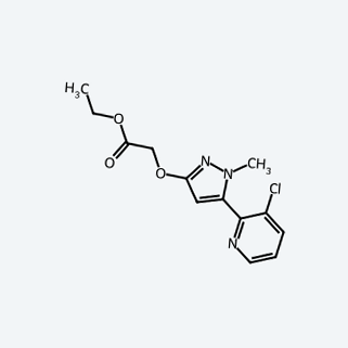 CCOC(=O)COc1cc(-c2ncccc2Cl)n(C)n1